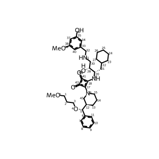 COCCCO[C@@H](c1ccccc1)[C@@H]1CCCN(c2c(N[C@@H](CC3CCCCC3)[C@H](O)CNCc3cc(O)cc(OC)c3)c(=O)c2=O)C1